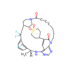 C[C@H]1Nc2ncnc3c2cc(C2CCS(=O)(=O)CC2)c(=O)n3CCCCCCC(=O)N2CCC(CC2)C(F)(F)c2cccc1c2F